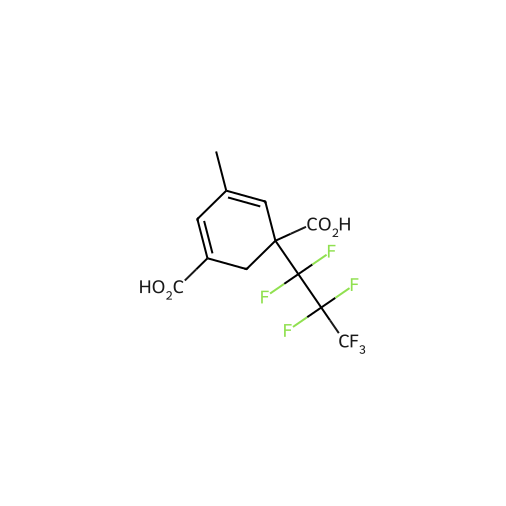 CC1=CC(C(=O)O)(C(F)(F)C(F)(F)C(F)(F)F)CC(C(=O)O)=C1